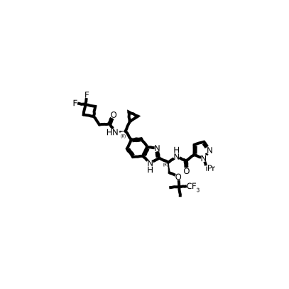 CC(C)n1nccc1C(=O)N[C@@H](COC(C)(C)C(F)(F)F)c1nc2cc([C@H](NC(=O)CC3CC(F)(F)C3)C3CC3)ccc2[nH]1